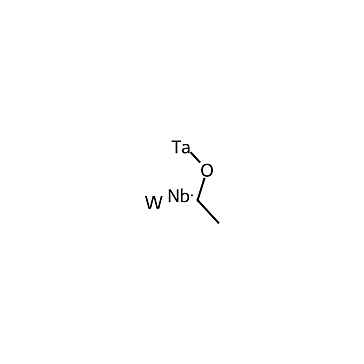 CC[O][Ta].[Nb].[W]